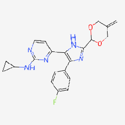 C=C1COC(c2nc(-c3ccc(F)cc3)c(-c3ccnc(NC4CC4)n3)[nH]2)OC1